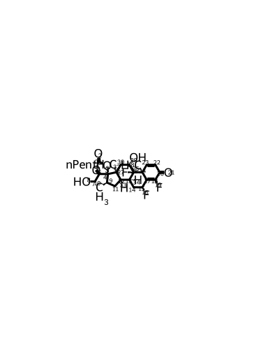 CCCCCC(=O)O[C@]1(C(=O)CO)[C@H](C)C[C@H]2[C@@H]3C[C@H](F)C4=C(F)C(=O)C=C[C@]4(C)[C@@]3(F)[C@@H](O)C[C@@]21C